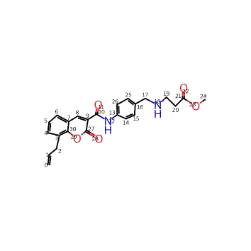 C=CCc1cccc2cc(C(=O)Nc3ccc(CNCCC(=O)OC)cc3)c(=O)oc12